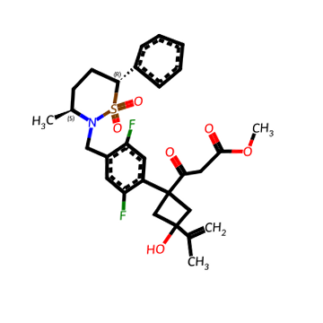 C=C(C)C1(O)CC(C(=O)CC(=O)OC)(c2cc(F)c(CN3[C@@H](C)CC[C@H](c4ccccc4)S3(=O)=O)cc2F)C1